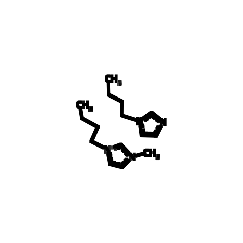 CCCC[n+]1ccn(C)c1.CCCCn1ccnc1